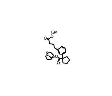 CC(C)(C)OC(=O)CCCc1cccc(C2(C(=O)OC3CN4CCC3CC4)CCCC2)c1